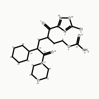 CCc1nc(C(=O)C(CCOC(N)=O)CC(C(=O)N2CCOCC2)C2CCCCC2)no1